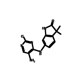 CC1(C)C(=O)Nc2cc(Nc3nc(Cl)ncc3N)ccc21